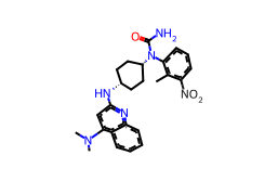 Cc1c(N(C(N)=O)[C@H]2CC[C@@H](Nc3cc(N(C)C)c4ccccc4n3)CC2)cccc1[N+](=O)[O-]